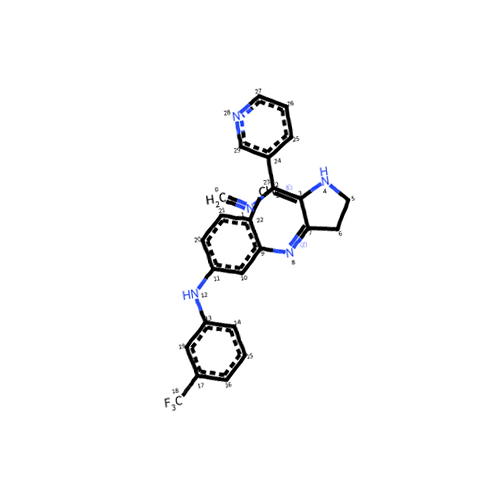 C=N/C(=C1/NCC/C1=N/c1cc(Nc2cccc(C(F)(F)F)c2)ccc1C)c1cccnc1